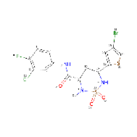 CN1[C@H](C(=O)Nc2ccc(F)c(Cl)c2)C[C@H](c2cc(Br)cs2)NS1(=O)=O